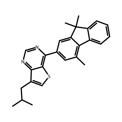 Cc1cc(-c2ncnc3c(CC(C)C)csc23)cc2c1-c1ccccc1C2(C)C